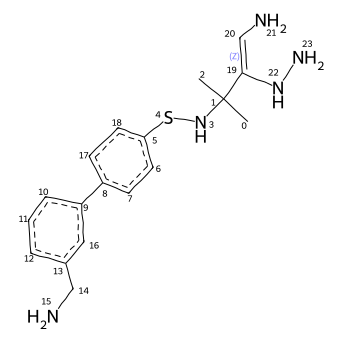 CC(C)(NSc1ccc(-c2cccc(CN)c2)cc1)/C(=C/N)NN